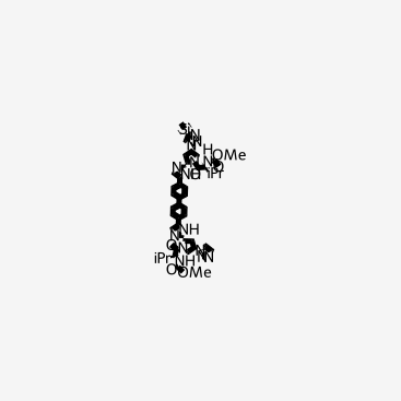 COC(=O)N[C@H](C(=O)N1C[C@H](n2ccnn2)C[C@H]1c1ncc(-c2ccc(-c3ccc(-c4cnc([C@@H]5C[C@@H](n6cc([Si](C)(C)C)nn6)CN5C(=O)[C@@H](NC(=O)OC)C(C)C)[nH]4)cc3)cc2)[nH]1)C(C)C